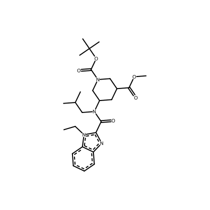 CCn1c(C(=O)N(CC(C)C)C2CC(C(=O)OC)CN(C(=O)OC(C)(C)C)C2)nc2ccccc21